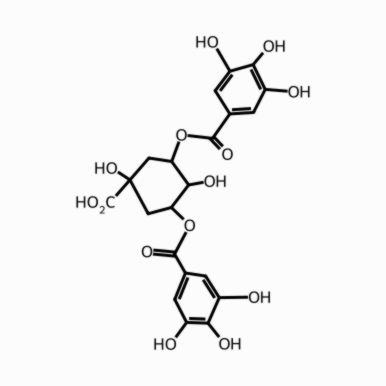 O=C(OC1CC(O)(C(=O)O)CC(OC(=O)c2cc(O)c(O)c(O)c2)C1O)c1cc(O)c(O)c(O)c1